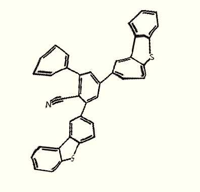 N#Cc1c(-c2ccccc2)cc(-c2ccc3sc4ccccc4c3c2)cc1-c1ccc2sc3ccccc3c2c1